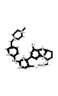 COC[C@H]1CCc2nc3c(F)cc(-c4nc(Nc5ccc(CN6CCN(C)CC6)cn5)ncc4F)cc3n21